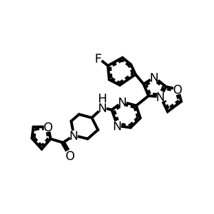 O=C(c1ccco1)N1CCC(Nc2nccc(-c3c(-c4ccc(F)cc4)nc4occn34)n2)CC1